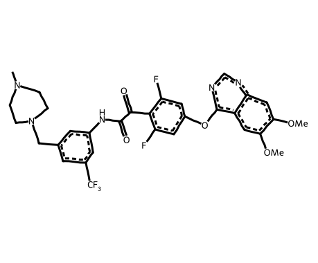 COc1cc2ncnc(Oc3cc(F)c(C(=O)C(=O)Nc4cc(CN5CCN(C)CC5)cc(C(F)(F)F)c4)c(F)c3)c2cc1OC